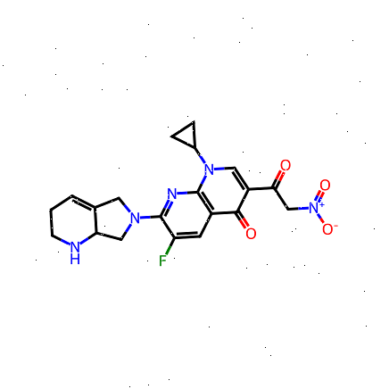 O=C(C[N+](=O)[O-])c1cn(C2CC2)c2nc(N3CC4=CCCNC4C3)c(F)cc2c1=O